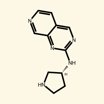 c1cc2cnc(N[C@@H]3CCNC3)nc2cn1